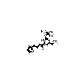 CCCC[C@H](NC(=O)OC(C)(C)C)C(=O)CCCc1ccco1